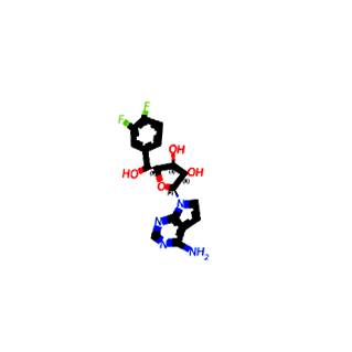 Nc1ncnc2c1ccn2[C@@H]1O[C@H](C(O)c2ccc(F)c(F)c2)[C@@H](O)[C@H]1O